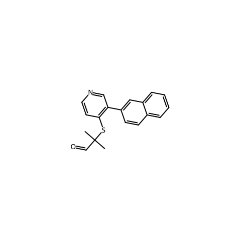 CC(C)(C=O)Sc1ccncc1-c1ccc2ccccc2c1